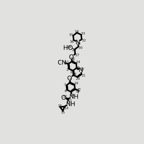 [C-]#[N+]c1cc2c(Oc3ccc(NC(=O)NC4CC4)c(F)c3)ccnc2cc1OC[C@H](O)CN1CCCCC1